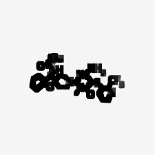 Cn1c(N2CCC3(CC2)Oc2ccccc2[C@H]3N[S+]([O-])C(C)(C)C)nc(N)c(Sc2cccnc2C(F)(F)F)c1=O